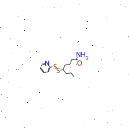 CCCC(CCCC(N)=O)SSc1ccccn1